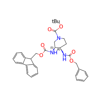 CC(C)(C)OC(=O)N1CC[C@@H](NC(=O)OCc2ccccc2)[C@@H](NC(=O)OCC2c3ccccc3-c3ccccc32)C1